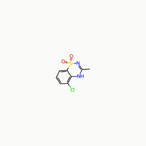 CC1=NS(=O)(=O)c2cccc(Cl)c2N1